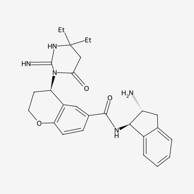 CCC1(CC)CC(=O)N([C@@H]2CCOc3ccc(C(=O)N[C@@H]4c5ccccc5C[C@H]4N)cc32)C(=N)N1